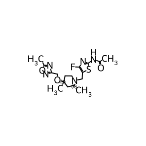 CC(=O)Nc1nc(F)c(CN2CC[C@@](C)(OCc3noc(C)n3)C[C@H]2C)s1